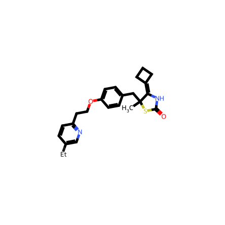 CCc1ccc(CCOc2ccc(CC3(C)SC(=O)NC3=C3CCC3)cc2)nc1